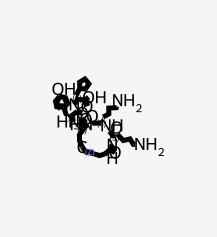 C[C@@]1(C(=O)N[C@@H](Cc2ccc(O)cc2)C(=O)N[C@@H](CC2CCCC2)C(=O)O)CCC/C=C\CCC(=O)N[C@@H](CCCCN)C(=O)N[C@@H](CCCCN)C(=O)N1